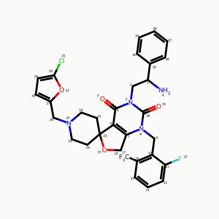 NC(Cn1c(=O)c2c(n(Cc3c(F)cccc3C(F)(F)F)c1=O)COC21CCN(Cc2ccc(Cl)o2)CC1)c1ccccc1